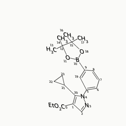 CCOC(=O)c1cnn(-c2cccc(B3OC(C)(C)C(C)(C)O3)c2)c1C1CC1